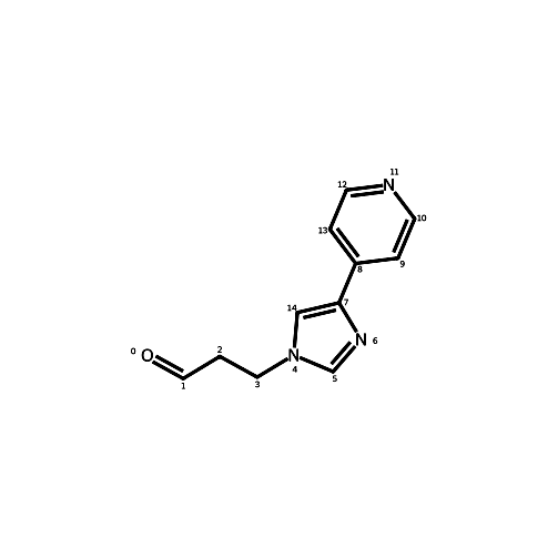 O=CCCn1cnc(-c2ccncc2)c1